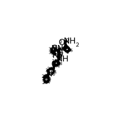 NC(=O)C1C2C=CC(C2)C1Nc1nc(Nc2ccc(C3CCN(C4CC5CCC4C5)CC3)cc2)nc2ccsc12